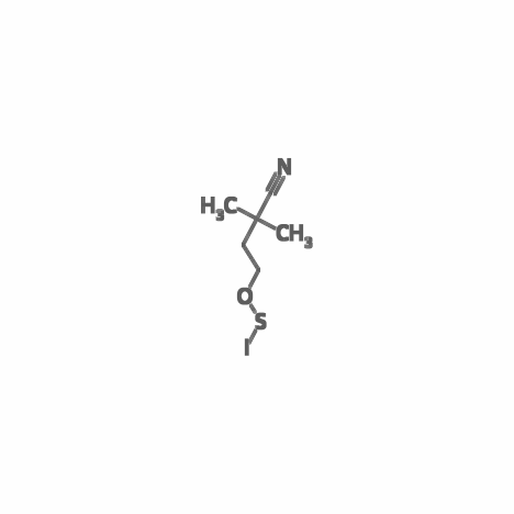 CC(C)(C#N)CCOSI